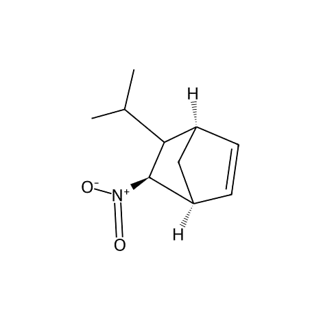 CC(C)C1[C@H]2C=C[C@H](C2)[C@H]1[N+](=O)[O-]